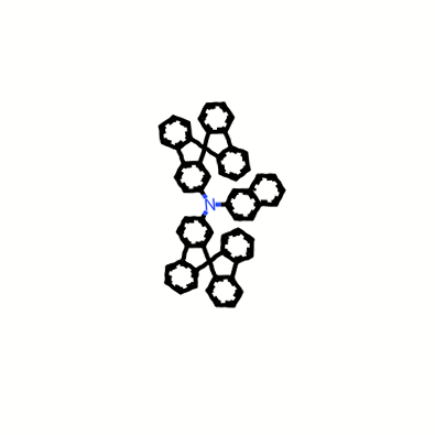 c1ccc2c(c1)-c1ccccc1C21c2ccccc2-c2ccc(N(c3ccc4c(c3)C3(c5ccccc5-c5ccccc53)c3ccccc3-4)c3ccc4ccccc4c3)cc21